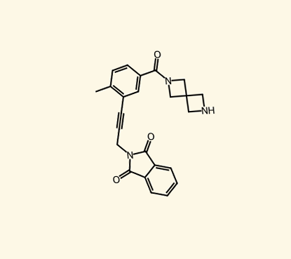 Cc1ccc(C(=O)N2CC3(CNC3)C2)cc1C#CCN1C(=O)c2ccccc2C1=O